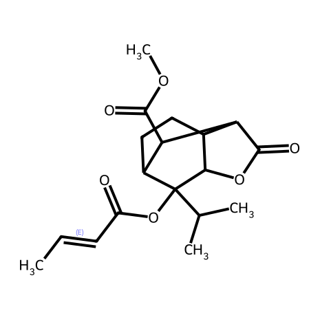 C/C=C/C(=O)OC1(C(C)C)C2CCC3C(C(=O)OC31)C2C(=O)OC